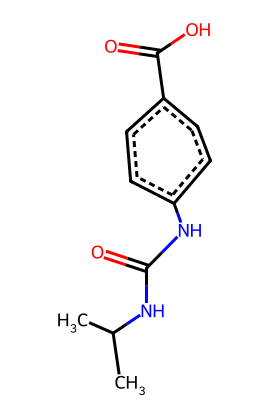 CC(C)NC(=O)Nc1ccc(C(=O)O)cc1